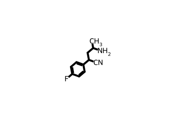 CC(N)CC(C#N)c1ccc(F)cc1